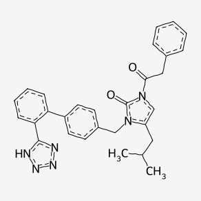 CC(C)Cc1cn(C(=O)Cc2ccccc2)c(=O)n1Cc1ccc(-c2ccccc2-c2nnn[nH]2)cc1